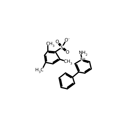 Cc1cc(C)c(S(=O)(=O)[O-])c(C)c1.N[n+]1cccc(-c2ccccc2)c1